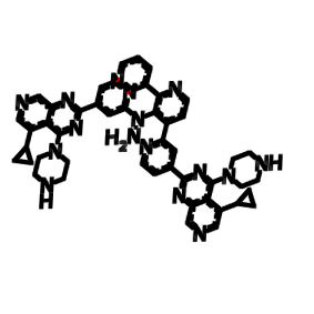 NN(c1cc(-c2nc(N3CCNCC3)c3c(C4CC4)cncc3n2)ccn1)c1c(-c2cc(-c3nc(N4CCNCC4)c4c(C5CC5)cncc4n3)ccn2)ccnc1-c1cccnc1